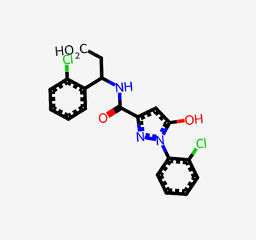 O=C(O)CC(NC(=O)c1cc(O)n(-c2ccccc2Cl)n1)c1ccccc1Cl